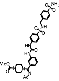 COC(=O)N1CCN(/C(=N\C(C)=O)c2cccc(NC(=O)Nc3ccc(S(=O)(=O)NCc4ccc(S(N)(=O)=O)cc4)cc3)c2)CC1